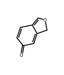 O=C1C=CC2=COCC2=C1